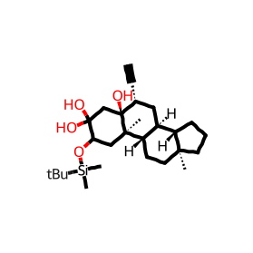 C#C[C@@H]1C[C@H]2[C@@H]3CCC[C@@]3(C)CC[C@@H]2[C@@]2(C)CC(O[Si](C)(C)C(C)(C)C)C(O)(O)C[C@]12O